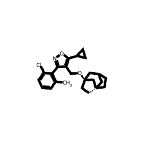 Cc1cccc(Cl)c1-c1noc(C2CC2)c1CO[C@@]12CC[C@]3(CCC(C3)C1)C2